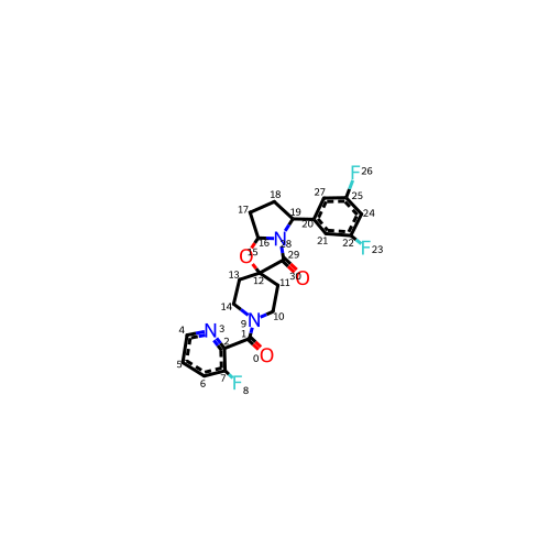 O=C(c1ncccc1F)N1CCC2(CC1)OC1CCC(c3cc(F)cc(F)c3)N1C2=O